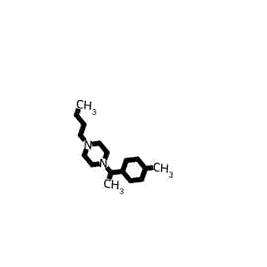 CCCCN1CCN(C(C)C2CCC(C)CC2)CC1